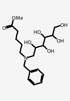 COC(=O)CCCCN(Cc1ccccc1)CC(O)C(O)C(O)C(O)CO